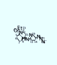 CCC(=O)N1c2ccccc2[C@H](Nc2ccc(N=[N+]=[N-])cn2)C[C@@H]1C